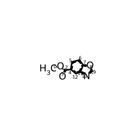 COC(=O)c1ccc2o[c]nc2c1